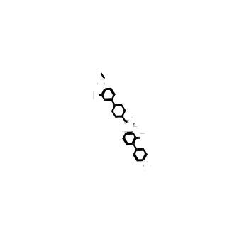 CCOc1ccc(C2CCC(C(=O)Oc3ccc(-c4ccc(OC)cc4)c(F)c3F)CC2)cc1F